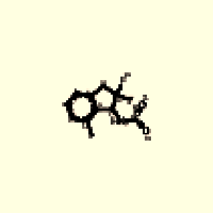 Cc1cccc2c1C(N[SH](=O)=O)C(F)(F)C2